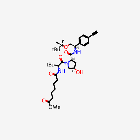 C#Cc1ccc([C@H](CO[Si](C)(C)C(C)(C)C)NC(=O)[C@@H]2C[C@@H](O)CN2C(=O)C(NC(=O)CCCCCC(=O)OC)C(C)(C)C)cc1